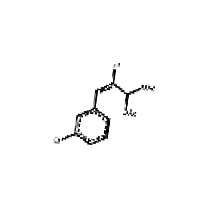 CCCC(=Cc1cccc(CC)c1)C(OC(C)=O)OC(C)=O